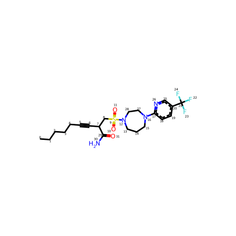 CCCCCC#CC(CS(=O)(=O)N1CCCN(c2ccc(C(F)(F)F)cn2)CC1)C(N)=O